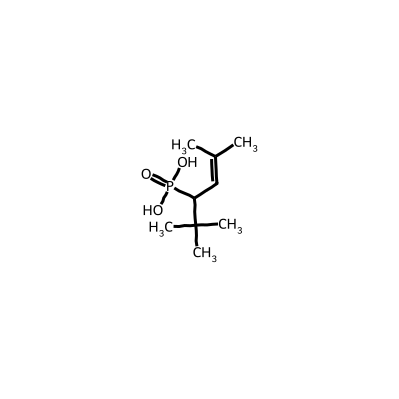 CC(C)=CC(C(C)(C)C)P(=O)(O)O